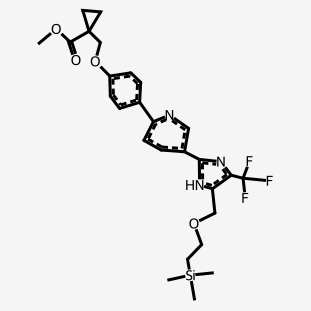 COC(=O)C1(COc2ccc(-c3ccc(-c4nc(C(F)(F)F)c(COCC[Si](C)(C)C)[nH]4)cn3)cc2)CC1